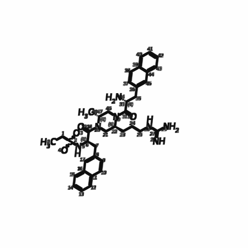 CCS(=O)(=O)N[C@H](Cc1ccc2ccccc2c1)C(=O)N1C[C@H](CCCNC(=N)N)N(C(=O)[C@H](N)Cc2ccc3ccccc3c2)C[C@H]1C